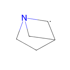 [CH]1C2CCN1C2